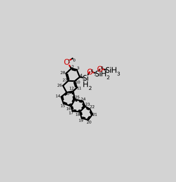 COC1=CC([SiH2]O[SiH2]O[SiH3])C2=Cc3c(ccc4cc5ccccc5cc34)CC2=C1